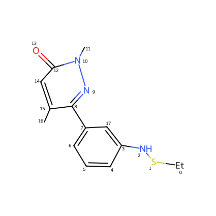 CCSNc1cccc(-c2nn(C)c(=O)cc2C)c1